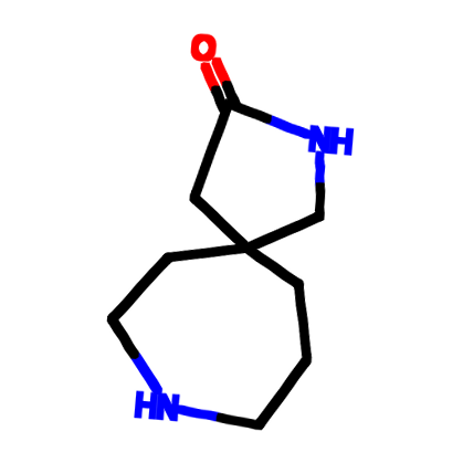 O=C1CC2(CCCNCC2)CN1